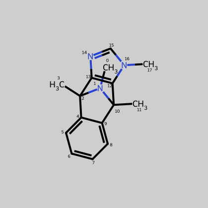 CN1C2(C)c3ccccc3C1(C)c1c2ncn1C